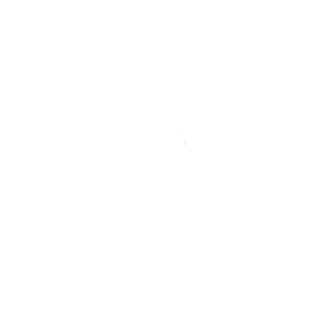 CC(C)CCCC(C)(C)OC(C)(C)CCCC(C)C